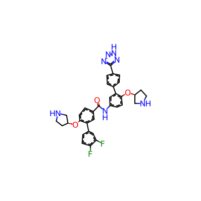 O=C(Nc1ccc(O[C@H]2CCNC2)c(-c2ccc(-c3nn[nH]n3)cc2)c1)c1ccc(O[C@H]2CCNC2)c(-c2ccc(F)c(F)c2)c1